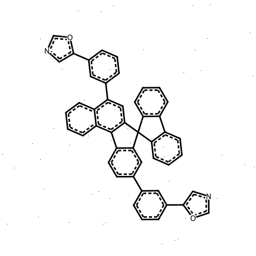 c1cc(-c2ccc3c(c2)C2(c4ccccc4-c4ccccc42)c2cc(-c4cccc(-c5cnco5)c4)c4ccccc4c2-3)cc(-c2cnco2)c1